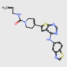 C=CCNC(=O)N1CC=C(c2cc3c(Nc4ccc5scnc5c4)ncnc3s2)CC1